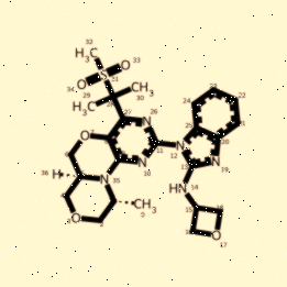 C[C@@H]1COC[C@H]2COc3c(nc(-n4c(NC5COC5)nc5ccccc54)nc3C(C)(C)S(C)(=O)=O)N21